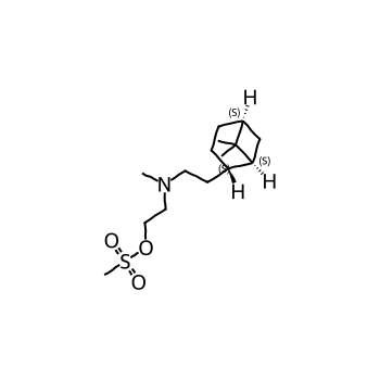 CN(CCOS(C)(=O)=O)CC[C@@H]1CC[C@H]2C[C@@H]1C2(C)C